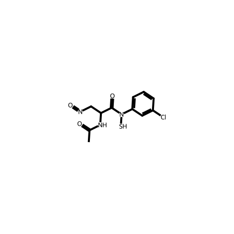 CC(=O)NC(CN=O)C(=O)N(S)c1cccc(Cl)c1